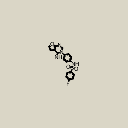 NC1c2ccoc2N=CN1c1ccc(NS(=O)(=O)c2ccc(F)cc2)cc1